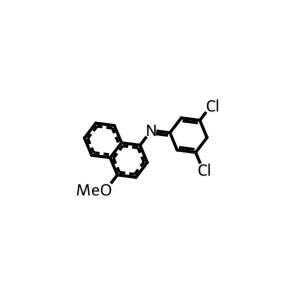 COc1ccc(N=C2C=C(Cl)CC(Cl)=C2)c2ccccc12